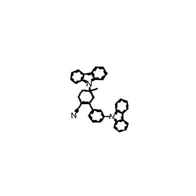 CC1(n2c3ccccc3c3ccccc32)CCC(C#N)=C(c2cccc(-n3c4ccccc4c4ccccc43)c2)C1